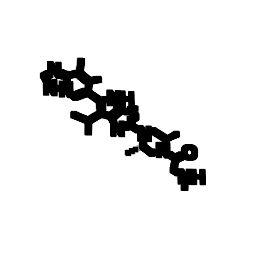 CNCC(=O)N1C[C@H](C)N(c2nc3c(C(C)C)c(-c4cn5ncnc5c(C)c4C)[nH]c3s2)C[C@H]1C